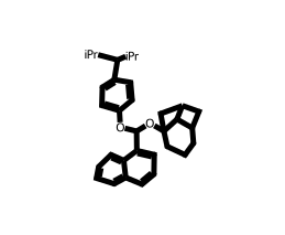 CC(C)C(c1ccc(OC(OC23CCCC4CC(C2)C43)c2cccc3ccccc23)cc1)C(C)C